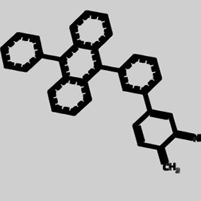 C=C1C=CC(c2cccc(-c3c4ccccc4c(-c4ccccc4)c4ccccc34)c2)=CC1=N